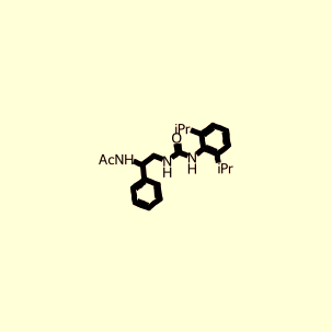 CC(=O)NC(CNC(=O)Nc1c(C(C)C)cccc1C(C)C)c1ccccc1